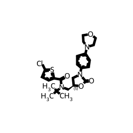 CC(C)(C)N(C[C@H]1CN(c2ccc(N3CCOCC3)cc2)C(=O)O1)C(=O)c1ccc(Cl)s1